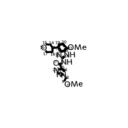 COCCn1cc(C(=O)Nc2nc3c(C4CCOCC4)ccc(OC)c3[nH]2)nn1